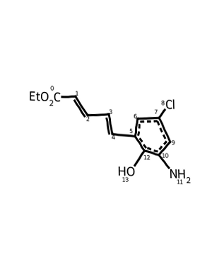 CCOC(=O)/C=C/C=C/c1cc(Cl)cc(N)c1O